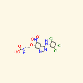 O=C(O)NCCOc1cc2ncnc(Nc3cc(Cl)c(Cl)cc3Cl)c2cc1[N+](=O)[O-]